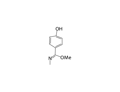 C/N=C(\OC)c1ccc(O)cc1